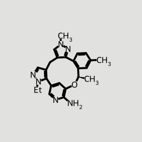 CCn1ncc2c1-c1cnc(N)c(c1)O[C@H](C)c1cc(C)ccc1-c1nn(C)cc1C2